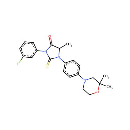 CC1C(=O)N(c2cccc(F)c2)C(=S)N1c1ccc(N2CCOC(C)(C)C2)cc1